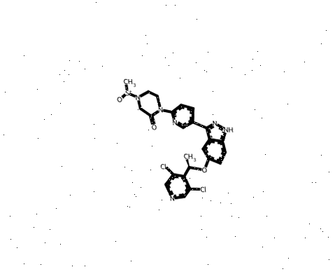 C[C@@H](Oc1ccc2[nH]nc(-c3ccc(N4CCN([S+](C)[O-])CC4=O)nc3)c2c1)c1c(Cl)cncc1Cl